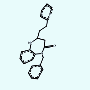 O=C1CC(CCc2ccccc2)Nc2ccccc2N1Cc1ccccc1